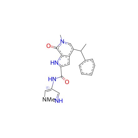 CN/C=C(\C=N)NC(=O)c1cc2c(C(C)c3ccccc3)cn(C)c(=O)c2[nH]1